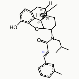 Cc1cccc(/C=C/C(=O)N(CC(C)C)C2CC[C@@]3(O)[C@H]4Cc5ccc(O)c6c5[C@@]3(CCN4C)C2O6)c1